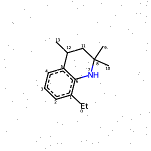 CCc1cccc2c1NC(C)(C)CC2C